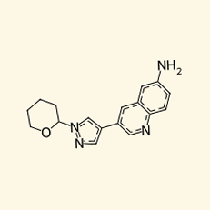 Nc1ccc2ncc(-c3cnn(C4CCCCO4)c3)cc2c1